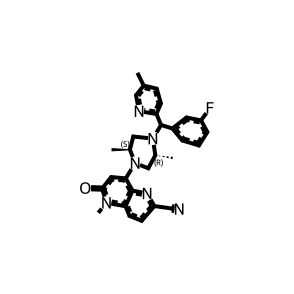 Cc1ccc(C(c2cccc(F)c2)N2C[C@H](C)N(c3cc(=O)n(C)c4ccc(C#N)nc34)C[C@H]2C)nc1